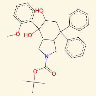 COc1ccccc1C1(O)C(O)CC(c2ccccc2)(c2ccccc2)C2CN(C(=O)OC(C)(C)C)CC21